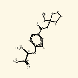 CSC1(CC(=O)c2ccc(CC(N)C(=O)O)cc2)OCCO1